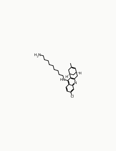 CC1=C[C@H]2Cc3nc4cc(Cl)ccc4c(NCCCCCCCCCN)c3[C@@H](C1)C2